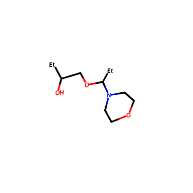 CCC(O)COC(CC)N1CCOCC1